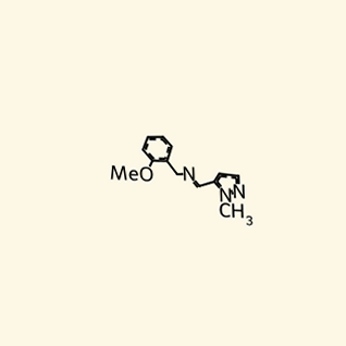 COc1ccccc1CN=Cc1ccnn1C